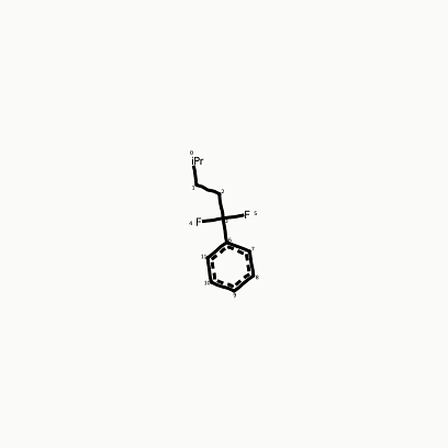 CC(C)CCC(F)(F)c1ccccc1